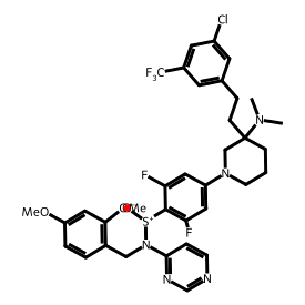 COc1ccc(CN(c2ccncn2)[S+]([O-])c2c(F)cc(N3CCCC(CCc4cc(Cl)cc(C(F)(F)F)c4)(N(C)C)C3)cc2F)c(OC)c1